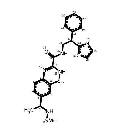 CSNC(C)c1ccc2c(c1)SNC(C(=O)NCC(c1ccccc1)c1ncco1)=N2